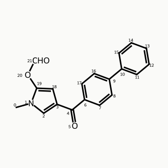 Cn1cc(C(=O)c2ccc(-c3ccccc3)cc2)cc1OC=O